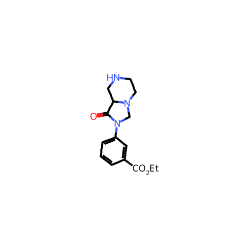 CCOC(=O)c1cccc(N2CN3CCNCC3C2=O)c1